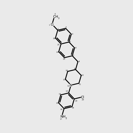 COc1ccc2cc(CC3CCN(c4ccc(N)cc4Cl)CC3)ccc2c1